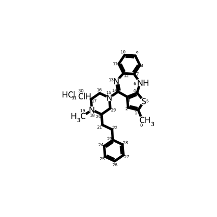 Cc1cc2c(s1)Nc1ccccc1N=C2N1CCN(C)C(CCc2ccccc2)C1.Cl.Cl